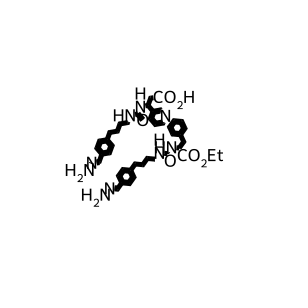 CCOC(=O)C(Cc1ccccc1)NC(=O)NCCCCc1ccc(C=NN)cc1.NN=Cc1ccc(CCCCNC(=O)NC(CC(=O)O)c2cccnc2)cc1